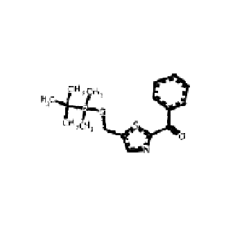 CC(C)(C)[Si](C)(C)OCc1cnc(C(=O)c2ccccc2)s1